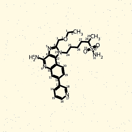 CCOCc1nc2c(N)nc3cc(-c4cccnc4)ccc3c2n1CCCCC(C)S(N)(=O)=O